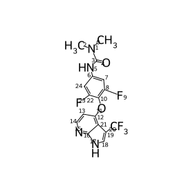 CN(C)C(=O)Nc1cc(F)c(Oc2ccnc3[nH]cc(C(F)(F)F)c23)c(F)c1